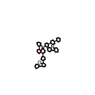 c1ccc(-c2ccc(-c3ccc(N(c4ccc(-c5ccc(-c6cccc7c6oc6ccccc67)cc5)cc4)c4ccccc4-c4ccccc4)cc3)c(-n3c4ccccc4c4ccccc43)c2)cc1